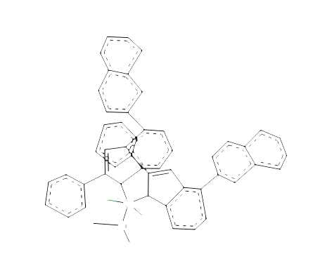 C[SiH](C)[Zr]([Cl])([Cl])([CH]1C(c2ccccc2)=Cc2c(-c3ccc4ccccc4c3)cccc21)[CH]1C(c2ccccc2)=Cc2c(-c3ccc4ccccc4c3)cccc21